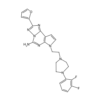 Nc1nc2c(ccn2CCN2CCN(c3cccc(F)c3F)CC2)c2nc(-c3ccco3)nn12